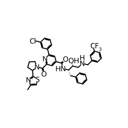 Cc1csc(C2CCCN2C(=O)c2cc(C(=O)N[C@@H](Cc3ccccc3)[C@H](O)CNCc3cccc(C(F)(F)F)c3)cc(-c3cccc(Cl)c3)n2)n1